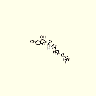 O=C(NC1CC2(c3cc([C@H]4C[C@@H](OC(F)(F)F)C4)on3)CC1C2)[C@H]1C[C@@H](O)c2cc(Cl)ccc2O1